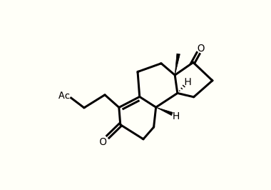 CC(=O)CCC1=C2CC[C@]3(C)C(=O)CC[C@H]3[C@@H]2CCC1=O